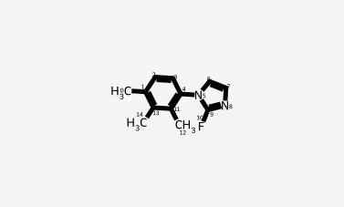 Cc1ccc(-n2ccnc2F)c(C)c1C